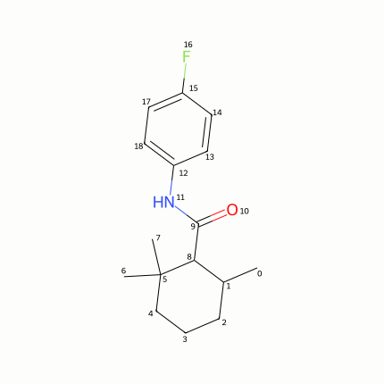 CC1CCCC(C)(C)C1C(=O)Nc1ccc(F)cc1